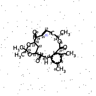 Cc1cc(C)c2c(c1)NC(=O)[C@@H]1C[C@H](OC(C)(C)O1)C(=O)/C=C/C[C@H](C)OC2=O